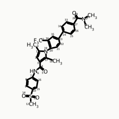 Cc1cc(C(=O)Nc2ccc(S(C)(=O)=O)cc2)c(C)n1-c1ccc(-c2ccc(C(=O)N(C)C)cc2)cc1C(F)(F)F